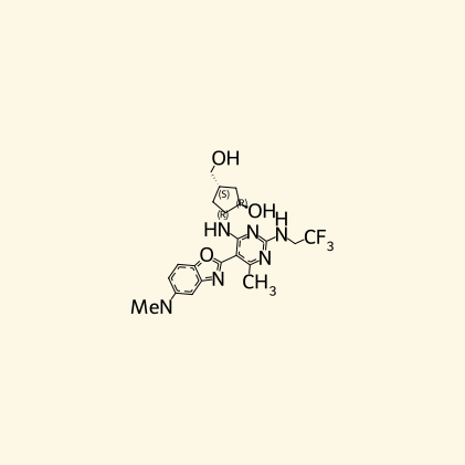 CNc1ccc2oc(-c3c(C)nc(NCC(F)(F)F)nc3N[C@@H]3C[C@H](CO)C[C@H]3O)nc2c1